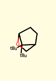 CC(C)(C)C1(C(C)(C)C)C2CCC1OC2